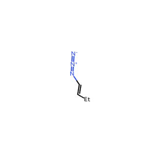 CC/C=C/N=[N+]=[N-]